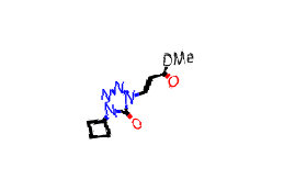 COC(=O)/C=C/n1nnn(C2CCC2)c1=O